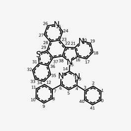 c1ccc(-c2cc(-c3ccccc3)nc(-n3c4cccnc4c4c5cnccc5c5sc6ccccc6c5c43)n2)cc1